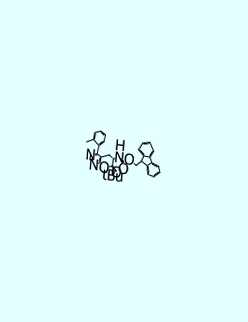 Cc1ccccc1-c1ncncc1C[C@@H](NC(=O)OCC1c2ccccc2-c2ccccc21)C(=O)OC(C)(C)C